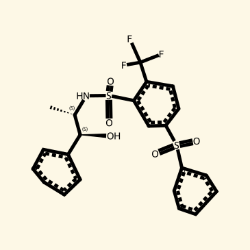 C[C@H](NS(=O)(=O)c1cc(S(=O)(=O)c2ccccc2)ccc1C(F)(F)F)[C@@H](O)c1ccccc1